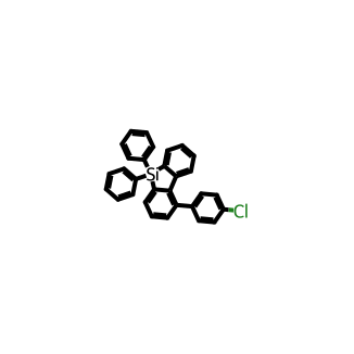 Clc1ccc(-c2cccc3c2-c2ccccc2[Si]3(c2ccccc2)c2ccccc2)cc1